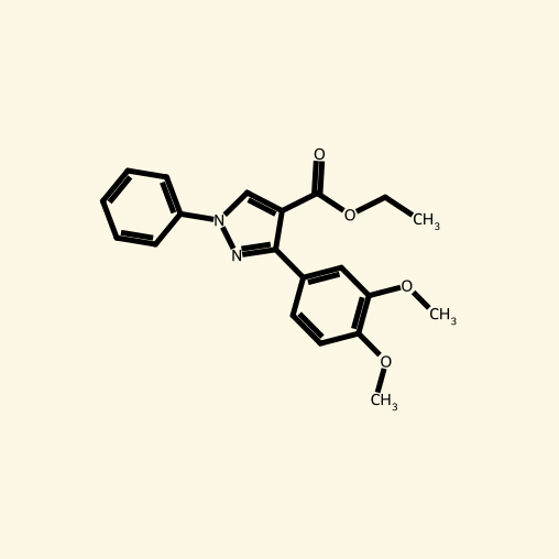 CCOC(=O)c1cn(-c2ccccc2)nc1-c1ccc(OC)c(OC)c1